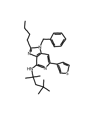 CCCCc1nc2c(NC(C)(C)CC(C)(C)C)nc(-c3ccsc3)cc2n1Cc1ccccc1